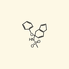 CS(=O)(=O)NC1(Oc2ccccc2)C=CC2=C(C=CC2)C1